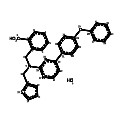 Cl.O=C(O)c1ccccc1CN(Cc1cccs1)c1nccc(-c2ccc(Oc3ccccc3)cc2)n1